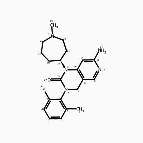 Cc1cccc(F)c1N1Cc2cnc(N)cc2N([C@H]2CCCN(C)CC2)C1=O